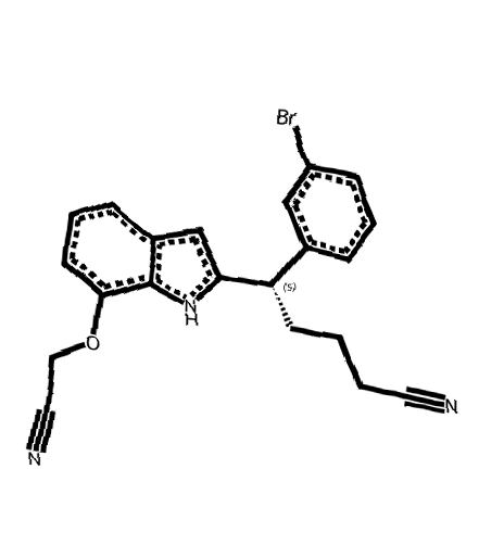 N#CCCC[C@@H](c1cccc(Br)c1)c1cc2cccc(OCC#N)c2[nH]1